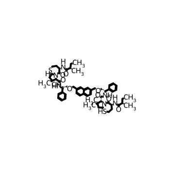 CC[C@@H](C)C(=O)N[C@H]1CCS[C@H]2CC(C)(C)C(C(=O)N[C@H](COCc3ccc4ccc(COC[C@@H](NC(=O)[C@@H]5N6C(=O)[C@@H](NC(=O)[C@H](C)CC)CCS[C@H]6CC5(C)C)c5ccccc5)cc4c3)c3ccccc3)N2C1=O